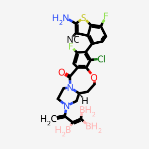 BC(B)=C(B)C(=C)N1CCN2C(=O)c3cc(F)c(-c4ccc(F)c5sc(N)c(C#N)c45)c(Cl)c3OCC[C@H]2C1